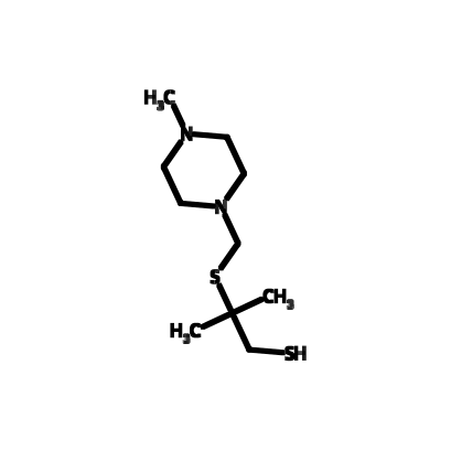 CN1CCN(CSC(C)(C)CS)CC1